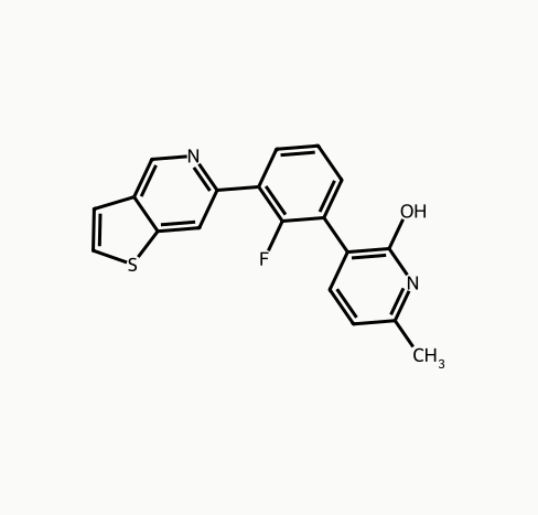 Cc1ccc(-c2cccc(-c3cc4sccc4cn3)c2F)c(O)n1